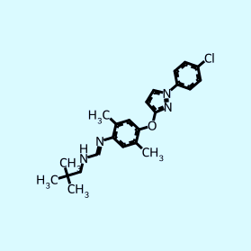 Cc1cc(Oc2ccn(-c3ccc(Cl)cc3)n2)c(C)cc1/N=C/NCC(C)(C)C